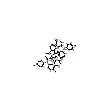 Cc1ccc(N(c2ccc(C)cc2)c2ccc3c(c2)C(C(C)(C)C)(C2(C(C)(C)C)c4ccccc4-c4ccc(N(c5ccc(C)cc5)c5ccc(C)cc5)cc42)c2ccccc2-3)cc1